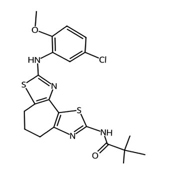 COc1ccc(Cl)cc1Nc1nc2c(s1)CCCc1nc(NC(=O)C(C)(C)C)sc1-2